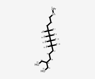 CCCOCCCC(F)(F)C(F)(F)C(F)(F)C(F)(F)CCCC(CO)CO